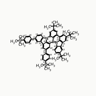 CC(C)(C)c1cc2c3c(c1)-n1c4ccc(-c5ccc([Si](C)(C)C)cc5)cc4c4cc(-c5ccc([Si](C)(C)C)cc5)cc(c41)B3n1c3ccc(C(C)(C)C)cc3c3cc(C(C)(C)C)cc-2c31